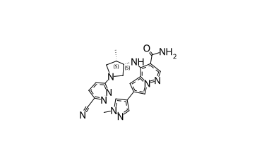 C[C@H]1CN(c2ccc(C#N)nn2)C[C@H]1Nc1c(C(N)=O)cnn2cc(-c3cnn(C)c3)cc12